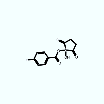 O=C(O[N+]1(O)C(=O)CCC1=O)c1ccc(F)cc1